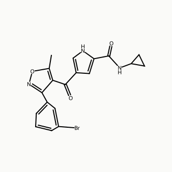 Cc1onc(-c2cccc(Br)c2)c1C(=O)c1c[nH]c(C(=O)NC2CC2)c1